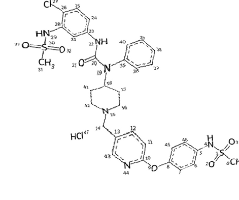 CS(=O)(=O)Nc1ccc(Oc2ccc(CN3CCC(N(C(=O)Nc4ccc(Cl)c(NS(C)(=O)=O)c4)c4ccccc4)CC3)cn2)cc1.Cl